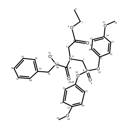 CCOC(=O)CN(CP(=O)(Oc1ccc(OC)cc1)Oc1ccc(OC)cc1)C(=O)[S+]([O-])Cc1ccccc1